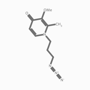 COc1c(C)n(CCCN=[N+]=[N-])ccc1=O